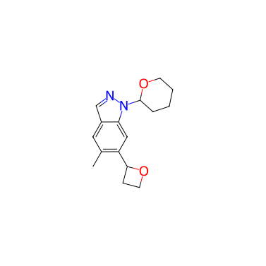 Cc1cc2cnn(C3CCCCO3)c2cc1C1CCO1